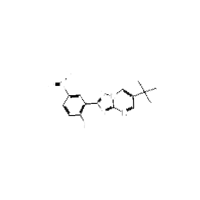 CC(C)(C)c1cnc2nc(-c3cc([N+](=O)[O-])ccc3F)nn2c1